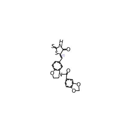 O=C1NC(=S)S/C1=C\c1ccc2c(c1)N(C(=O)c1ccc3c(c1)OCO3)CCO2